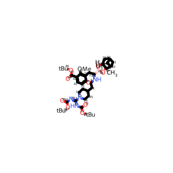 COc1c(CC(NC(=O)CC2CCN(C(=NC(=O)OC(C)(C)C)NC(=O)OC(C)(C)C)CC2)B2OC3CC4CC(C4(C)C)C3(C)O2)cccc1C(=O)OC(C)(C)C